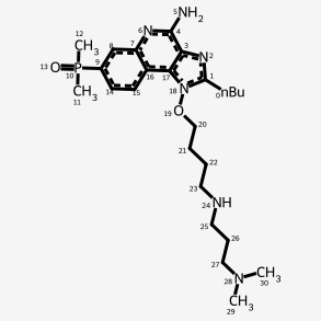 CCCCc1nc2c(N)nc3cc(P(C)(C)=O)ccc3c2n1OCCCCNCCCN(C)C